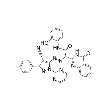 N#Cc1c(-c2ccccc2)nn(-c2ncccn2)c1N=NC(C(=O)Nc1ccccc1O)c1nc2ccccc2c(=O)[nH]1